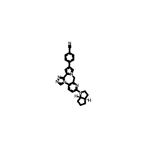 N#Cc1ccc(-c2cc3n(c2)Cc2nc(N4CC[C@H]5CCC[C@@H]54)ccc2-n2cnnc2-3)cc1